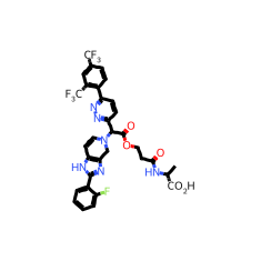 CC(NC(=O)CCOC(=O)C(c1ccc(-c2ccc(C(F)(F)F)cc2C(F)(F)F)nn1)N1C=Cc2[nH]c(-c3ccccc3F)nc2C1)C(=O)O